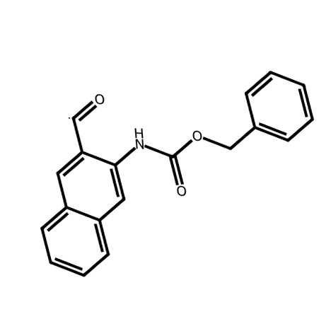 O=[C]c1cc2ccccc2cc1NC(=O)OCc1ccccc1